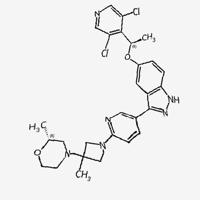 C[C@@H]1CN(C2(C)CN(c3ccc(-c4n[nH]c5ccc(O[C@H](C)c6c(Cl)cncc6Cl)cc45)cn3)C2)CCO1